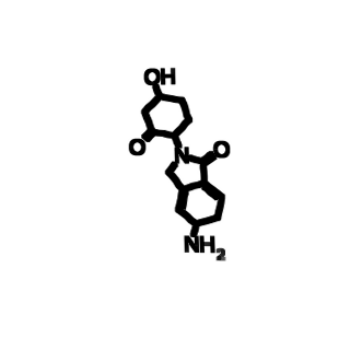 NC1C=C2CN(C3CCC(O)CC3=O)C(=O)C2=CC1